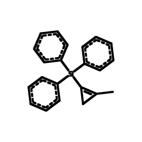 CC1=C([Si](c2ccccc2)(c2ccccc2)c2ccccc2)C1